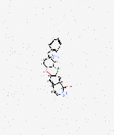 NC1(Cc2ccccc2)CCC(Oc2cc3cc[nH]c(=O)c3cc2Cl)CC1